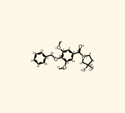 COc1cc(C(=O)N2CCC(F)(F)C2)cc(OC)c1OCc1ccccc1